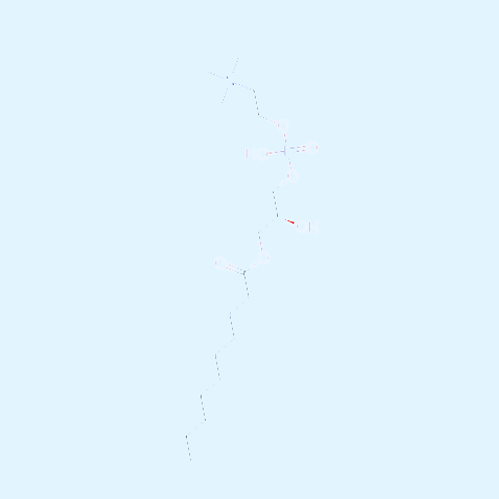 CCCCCCCCCC(=O)OC[C@H](O)COP(=O)(O)OCC[N+](C)(C)C